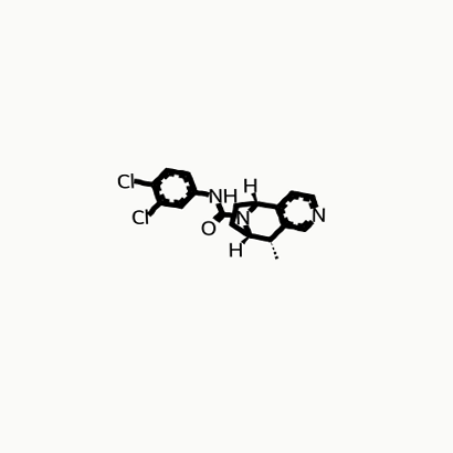 C[C@H]1c2cnccc2[C@H]2CC[C@@H]1N2C(=O)Nc1ccc(Cl)c(Cl)c1